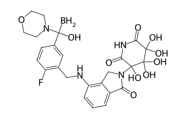 BC(O)(c1ccc(F)c(CNc2cccc3c2CN(C2(O)C(=O)NC(=O)C(O)(O)C2(O)O)C3=O)c1)N1CCOCC1